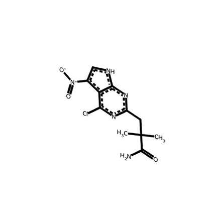 CC(C)(Cc1nc(Cl)c2c([N+](=O)[O-])c[nH]c2n1)C(N)=O